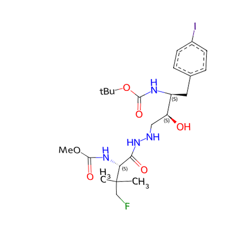 COC(=O)N[C@H](C(=O)NNC[C@H](O)[C@H](Cc1ccc(I)cc1)NC(=O)OC(C)(C)C)C(C)(C)CF